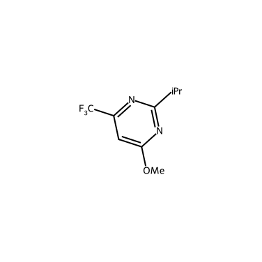 COc1cc(C(F)(F)F)nc(C(C)C)n1